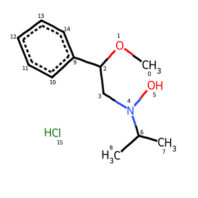 COC(CN(O)C(C)C)c1ccccc1.Cl